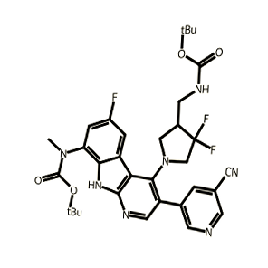 CN(C(=O)OC(C)(C)C)c1cc(F)cc2c1[nH]c1ncc(-c3cncc(C#N)c3)c(N3CC(CNC(=O)OC(C)(C)C)C(F)(F)C3)c12